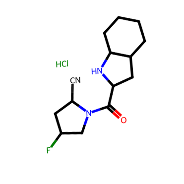 Cl.N#CC1CC(F)CN1C(=O)C1CC2CCCCC2N1